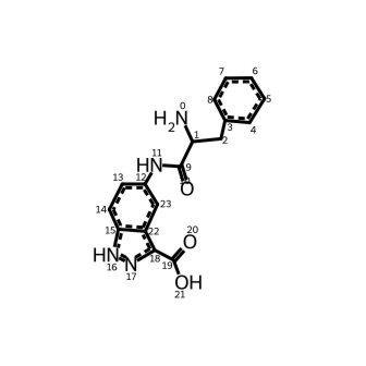 NC(Cc1ccccc1)C(=O)Nc1ccc2[nH]nc(C(=O)O)c2c1